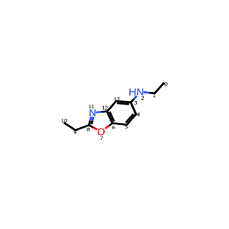 CCNc1ccc2oc(CC)nc2c1